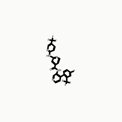 O=C(Nc1cnccc1-c1ccc(F)cc1C(F)(F)F)c1ccnc(Nc2ccc(C(F)(F)F)cn2)c1